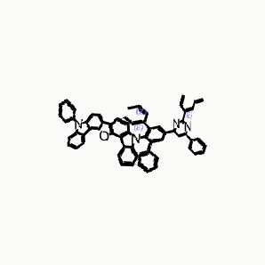 C=C/C=C(\C=C)c1nc(-c2ccccc2)cc(-c2cc(C(/C=C\C)=C/C)c(-n3c4ccccc4c4c5oc6c(ccc7c6c6ccccc6n7-c6ccccc6)c5ccc43)c(-c3ccccc3)c2)n1